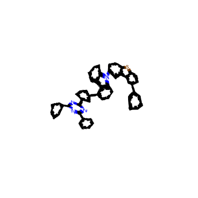 c1ccc(-c2ccc3sc4ccc(-n5c6ccccc6c6c(-c7cccc(-c8nc(-c9ccccc9)nc(-c9ccccc9)n8)c7)cccc65)cc4c3c2)cc1